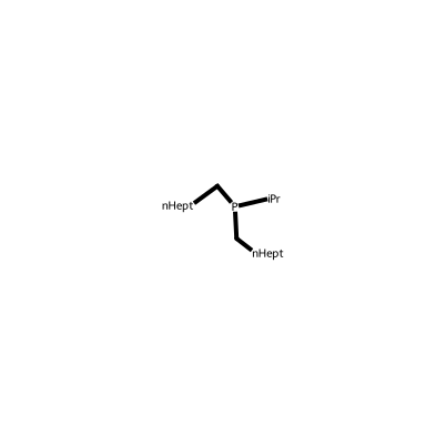 CCCCCCCCP(CCCCCCCC)C(C)C